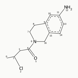 CC(Cl)CC(=O)N1CCc2cc(N)ccc2C1